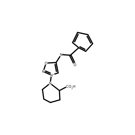 O=C([N-]c1c[n+](N2CCCCC2C(=O)O)no1)c1ccccc1